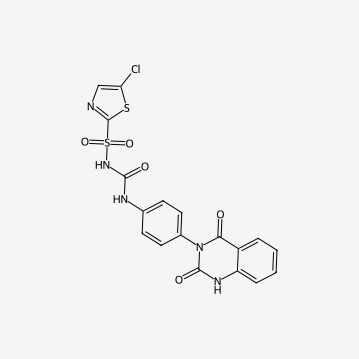 O=C(Nc1ccc(-n2c(=O)[nH]c3ccccc3c2=O)cc1)NS(=O)(=O)c1ncc(Cl)s1